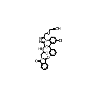 C#CCOCc1nnc(CNC(=O)CN2C(=O)c3ccccc3C2=O)n1-c1ccc(Cl)cc1C(=O)c1ccccc1